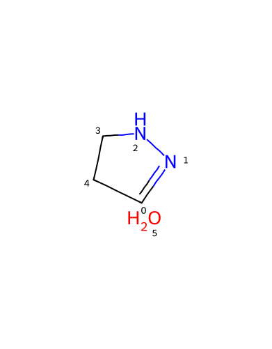 C1=NNCC1.O